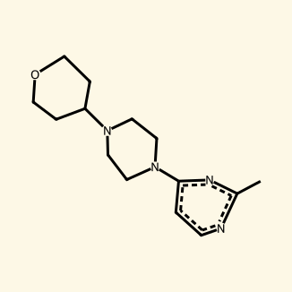 Cc1nccc(N2CCN(C3CCOCC3)CC2)n1